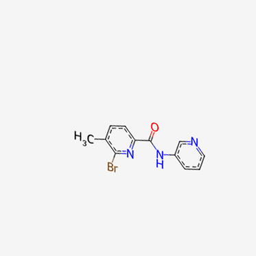 Cc1ccc(C(=O)Nc2cccnc2)nc1Br